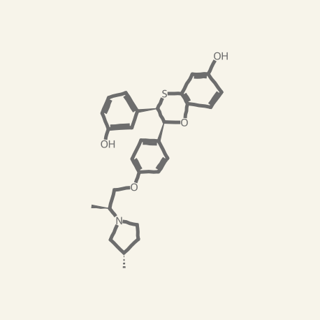 C[C@H]1CCN([C@@H](C)COc2ccc([C@@H]3Oc4ccc(O)cc4S[C@@H]3c3cccc(O)c3)cc2)C1